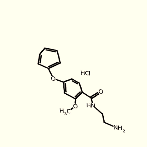 COc1cc(Oc2ccccc2)ccc1C(=O)NCCN.Cl